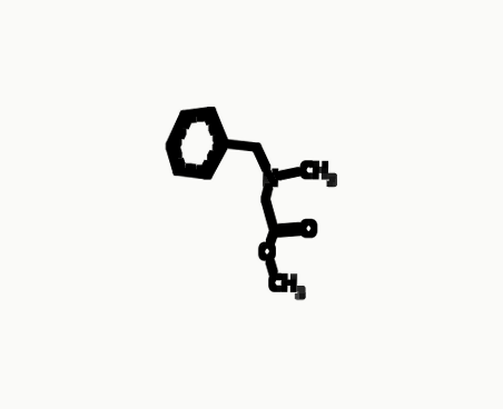 COC(=O)CN(C)Cc1ccccc1